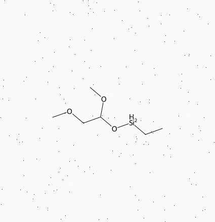 CC[SiH2]OC(COC)OC